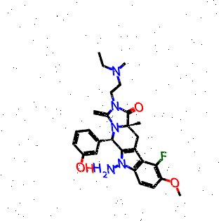 C=C1N(CCN(C)CC)C(=O)[C@]2(C)Cc3c(n(N)c4ccc(OC)c(F)c34)[C@@H](c3cccc(O)c3)N12